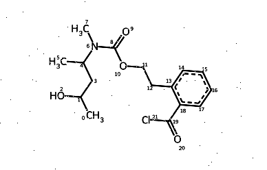 CC(O)CC(C)N(C)C(=O)OCCc1ccccc1C(=O)Cl